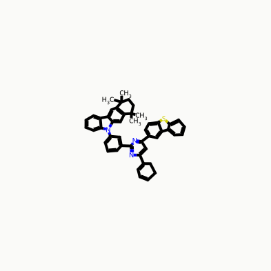 CC1(C)CCC(C)(C)c2cc3c(cc21)c1ccccc1n3-c1cccc(-c2nc(C3=CC=CCC3)cc(-c3ccc4sc5ccccc5c4c3)n2)c1